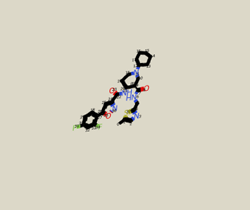 Cc1cnc(CNC(=O)[C@@H]2CN(C3CCCCC3)CC[C@H]2NC(=O)c2cc(-c3ccc(F)cc3F)on2)s1